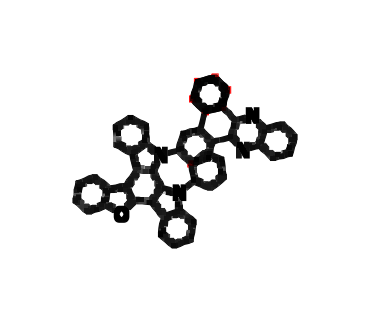 c1ccc(-c2cc(-n3c4ccccc4c4c5c6ccccc6oc5c5c6ccccc6n(-c6ccccc6)c5c43)ccc2-c2nc3ccccc3nc2-c2ccccc2)cc1